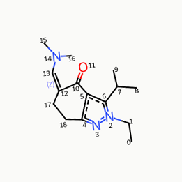 CCn1nc2c(c1C(C)C)C(=O)/C(=C\N(C)C)CC2